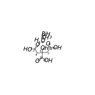 O.O=C(O)CC(O)(CC(=O)O)C(=O)O.[BiH3].[KH]